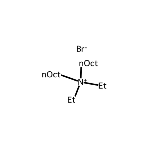 CCCCCCCC[N+](CC)(CC)CCCCCCCC.[Br-]